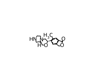 Cc1cc2c(cc1[C@@H]1CN3CCNC[C@H]3CO1)COC2=O